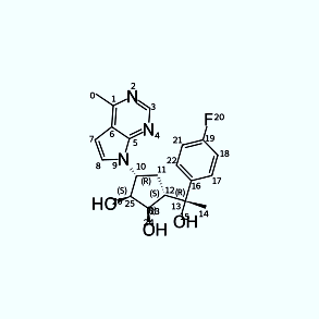 Cc1ncnc2c1ccn2[C@@H]1C[C@H]([C@@](C)(O)c2ccc(F)cc2)[C@@H](O)[C@H]1O